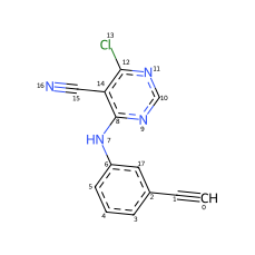 C#Cc1cccc(Nc2ncnc(Cl)c2C#N)c1